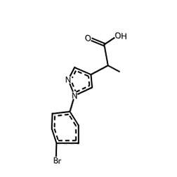 CC(C(=O)O)c1cnn(-c2ccc(Br)cc2)c1